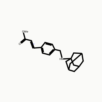 COC(=O)/C=C/c1ccc(CNC23CC4CC(CC(C4)C2)C3)cc1